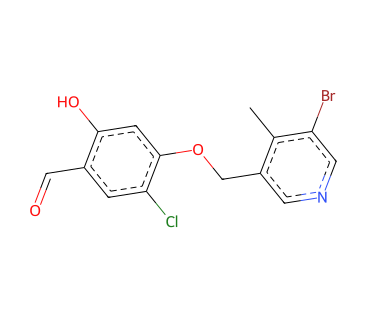 Cc1c(Br)cncc1COc1cc(O)c(C=O)cc1Cl